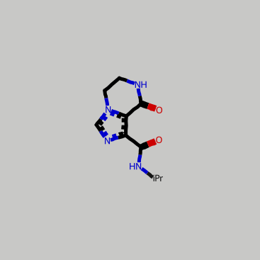 CC(C)NC(=O)c1ncn2c1C(=O)NCC2